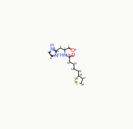 O=CC(Cc1ncc[nH]1)NC(=O)CCCCC1CCSS1